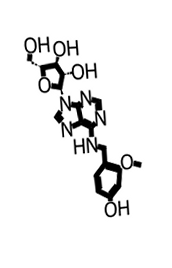 COc1cc(O)ccc1CNc1ncnc2c1ncn2[C@@H]1O[C@H](CO)[C@@H](O)[C@@H]1O